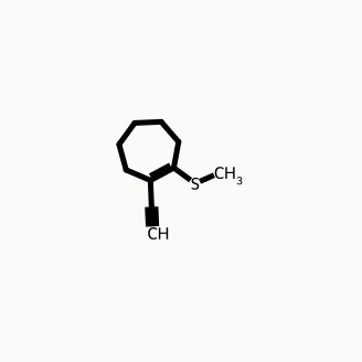 C#CC1=C(SC)CCCCC1